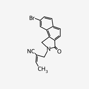 C/C=C(/C#N)CN1Cc2c(ccc3ccc(Br)cc23)C1=O